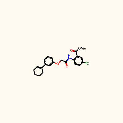 COC(=O)c1cc(Cl)ccc1NC(=O)COc1cccc(C2=CCCCC2)c1